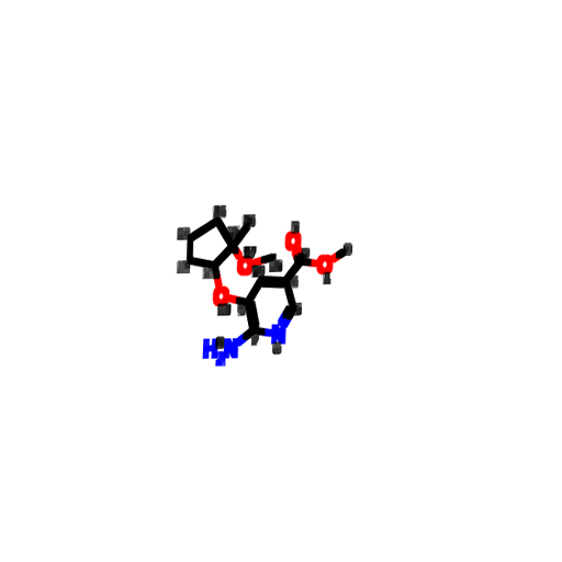 COC(=O)c1cnc(N)c(OC2CCCC2(C)OC)c1